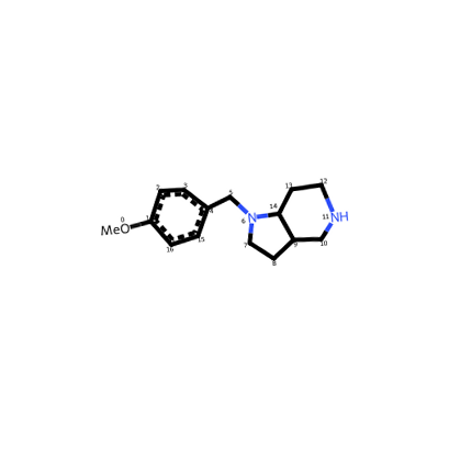 COc1ccc(CN2CCC3CNCCC32)cc1